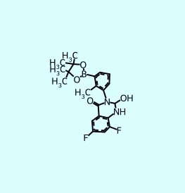 Cc1c(B2OC(C)(C)C(C)(C)O2)cccc1N1C(=O)c2cc(F)cc(F)c2NC1O